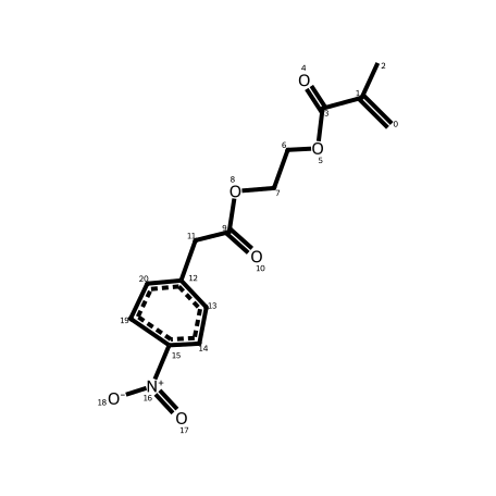 C=C(C)C(=O)OCCOC(=O)Cc1ccc([N+](=O)[O-])cc1